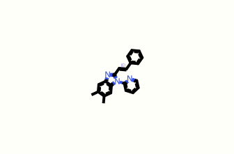 Cc1cc2nc(/C=C/c3ccccc3)n(-c3ccccn3)c2cc1C